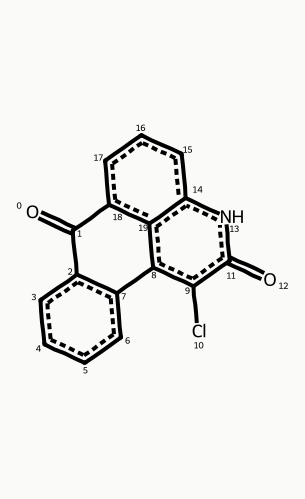 O=C1c2ccccc2-c2c(Cl)c(=O)[nH]c3cccc1c23